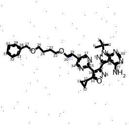 CC(C)(C)n1nc(-c2noc(C3CC3)c2-c2ncc(/C=C/OCCCCOCc3ccccc3)cn2)c2c(N)ncnc21